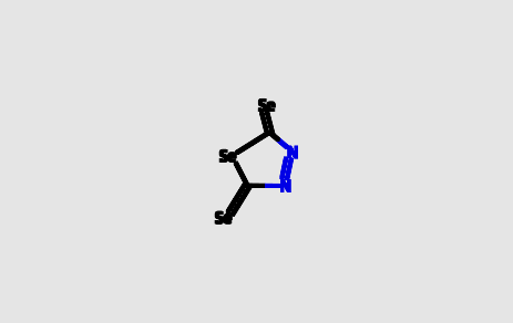 [Se]=C1N=NC(=[Se])[Se]1